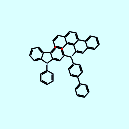 c1ccc(-c2ccc(N(c3ccc4c5ccccc5n(-c5ccccc5)c4c3)c3cc4ccccc4c4ccc5ccccc5c34)cc2)cc1